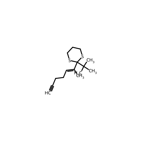 C#CCC/C=C(\C)C1(C(C)(C)C)SCCCS1